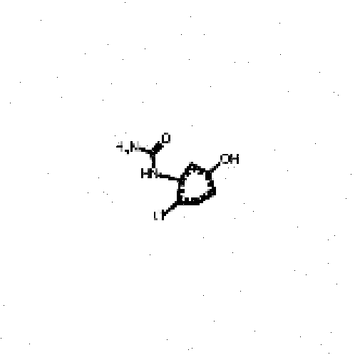 NC(=O)Nc1cc(O)ccc1Cl